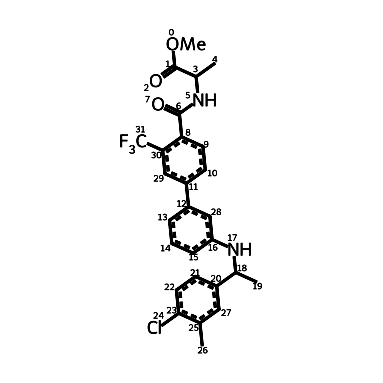 COC(=O)C(C)NC(=O)c1ccc(-c2cccc(NC(C)c3ccc(Cl)c(C)c3)c2)cc1C(F)(F)F